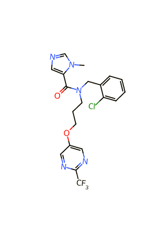 Cn1cncc1C(=O)N(CCCOc1cnc(C(F)(F)F)nc1)Cc1ccccc1Cl